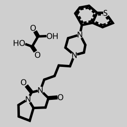 O=C(O)C(=O)O.O=C1CC2CCCN2C(=O)N1CCCCN1CCN(c2cccc3sccc23)CC1